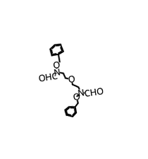 O=CN(CCOCCN(C=O)OCc1ccccc1)OCc1ccccc1